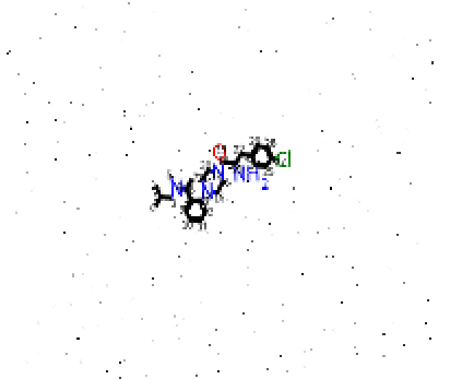 CC(C)CN(C)C(C)c1ccccc1N1CCN(C(=O)C(N)Cc2ccc(Cl)cc2)CC1